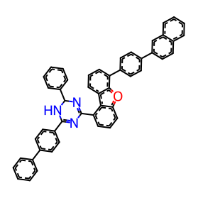 c1ccc(-c2ccc(C3=NC(c4cccc5oc6c(-c7ccc(-c8ccc9ccccc9c8)cc7)cccc6c45)=NC(c4ccccc4)N3)cc2)cc1